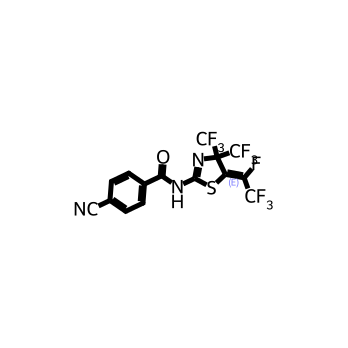 N#Cc1ccc(C(=O)NC2=NC(C(F)(F)F)(C(F)(F)F)/C(=C(\F)C(F)(F)F)S2)cc1